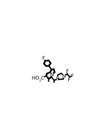 Cc1c(C(=O)O)cc2c(-c3ccc(F)cc3)ccn2c1C(C)N1CCN(C(F)C(F)F)CC1